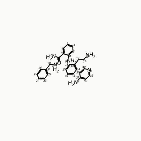 NC(=O)c1ccccc1N.NCCc1ccccc1.NCc1ccccc1.Nc1ccncc1